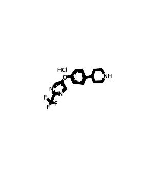 Cl.FC(F)(F)c1ncc(Oc2ccc(C3CCNCC3)cc2)cn1